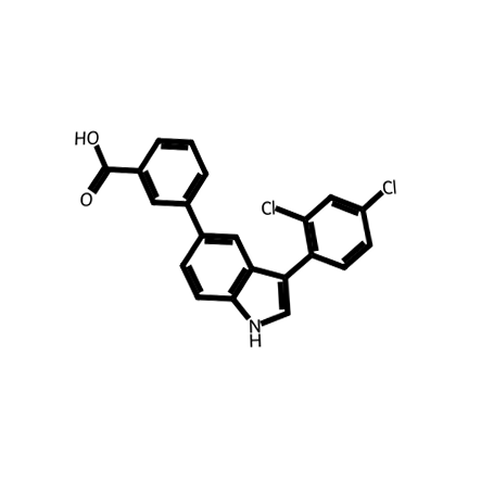 O=C(O)c1cccc(-c2ccc3[nH]cc(-c4ccc(Cl)cc4Cl)c3c2)c1